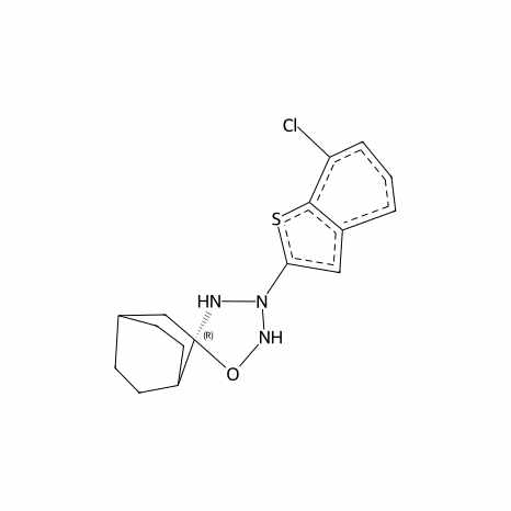 Clc1cccc2cc(N3NO[C@@]4(CC5CCC4CC5)N3)sc12